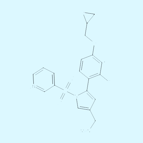 CNCc1cc(-c2ccc(OCC3CO3)cc2F)n(S(=O)(=O)c2cccnc2)c1